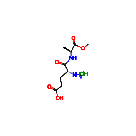 COC(=O)[C@H](C)NC(=O)[C@H](N)CCC(=O)O.Cl